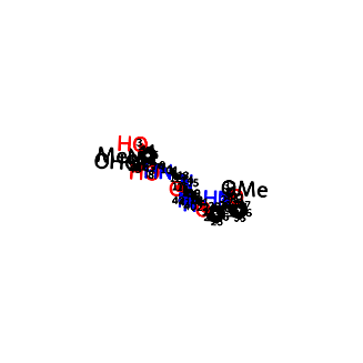 CNc1c(O)ccc(C(O)CNCCCN(C)C(=O)c2cc(COc3cccc(C(NC(=O)OC)c4ccccc4)c3)nn2C)c1/C=C\C=O